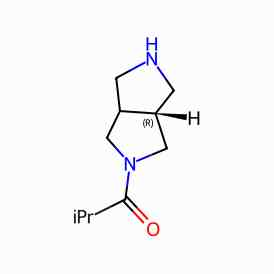 CC(C)C(=O)N1CC2CNC[C@@H]2C1